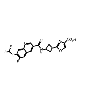 O=C(NC1CN(c2nc(C(=O)O)co2)C1)c1cnc2cc(OC(F)F)c(F)cc2c1